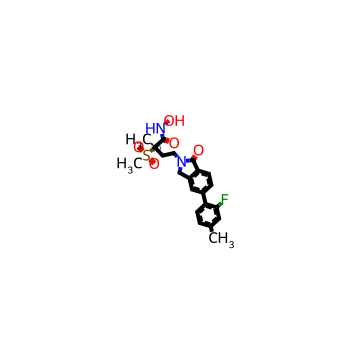 Cc1ccc(-c2ccc3c(c2)CN(CC[C@](C)(C(=O)NO)S(C)(=O)=O)C3=O)c(F)c1